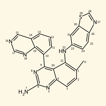 Cc1ccc2nc(N)nc(-c3cccc4cncnc34)c2c1Nc1ccc2ncsc2c1